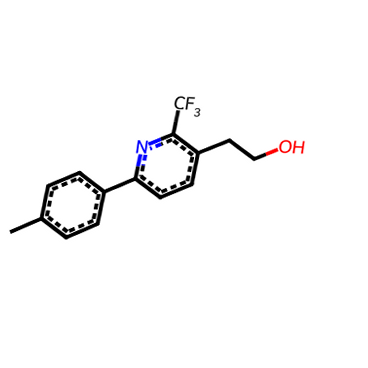 Cc1ccc(-c2ccc(CCO)c(C(F)(F)F)n2)cc1